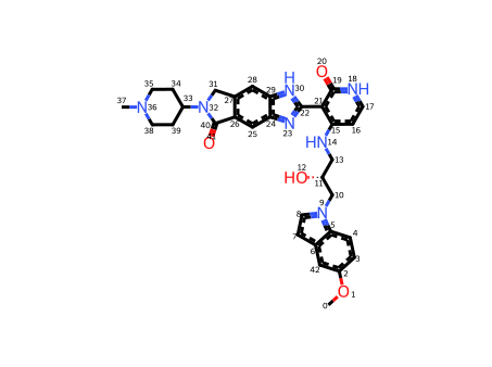 COc1ccc2c(ccn2C[C@H](O)CNc2cc[nH]c(=O)c2-c2nc3cc4c(cc3[nH]2)CN(C2CCN(C)CC2)C4=O)c1